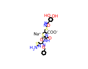 Nc1nc(C(=NOCc2ccccc2)C(=O)N[C@@H]2C(=O)N3C(C(=O)[O-])=C(CSc4nnc(-c5ccc(O)c(O)c5)o4)CS[C@@H]23)cs1.[Na+]